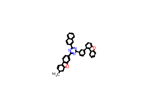 CC1C=Cc2c(oc3cc(-c4nc(-c5cccc(-c6cccc7oc8ccccc8c67)c5)nc(-c5ccc6ccccc6c5)n4)ccc23)C1